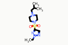 CCn1ncc(S(=O)(=O)N2CCN(CC(C)C)CC2)n1